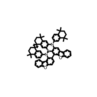 CC1(C)CCC(C)(C)c2cc(N3B4c5cc6c(cc5N(c5ccc7c(c5)C(C)(C)CCC7(C)C)c5cc7c(oc8ccccc87)c(c54)-c4ccc5oc7ccccc7c5c43)C(C)(C)CCC6(C)C)ccc21